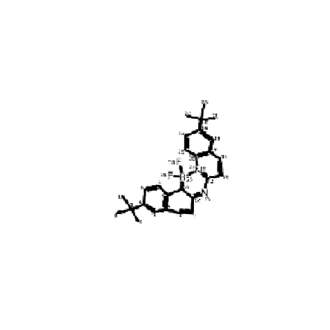 CC(C)(C)c1ccc2c(c1)C=CC1=Nc3ccc4cc(C(C)(C)C)ccc4[n+]3[B-](F)(F)C12